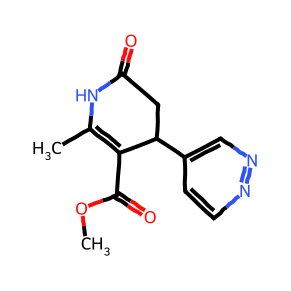 COC(=O)C1=C(C)NC(=O)CC1c1ccnnc1